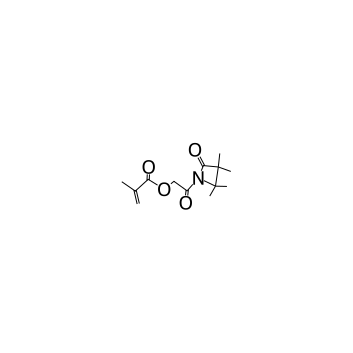 C=C(C)C(=O)OCC(=O)N1C(=O)C(C)(C)C1(C)C